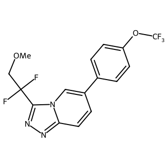 COCC(F)(F)c1nnc2ccc(-c3ccc(OC(F)(F)F)cc3)cn12